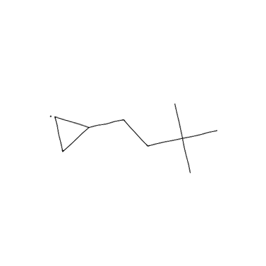 CC(C)(C)CCC1[CH]C1